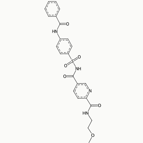 COCCNC(=O)c1ccc(C(=O)NS(=O)(=O)c2ccc(NC(=O)c3ccccc3)cc2)cn1